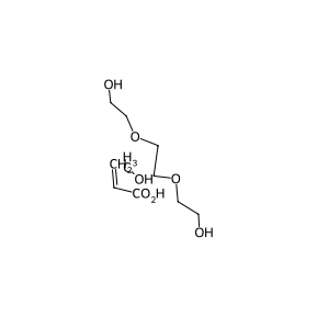 C=CC(=O)O.CO.OCCOCCOCCO